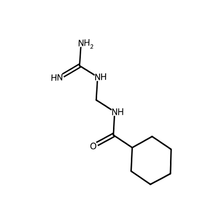 N=C(N)NCNC(=O)C1CCCCC1